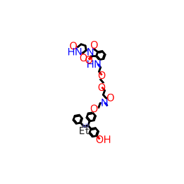 CC/C(=C(\c1ccc(O)cc1)c1ccc(OCCN(C)C(=O)CCOCCOCCNc2cccc3c2C(=O)N(C2CCC(=O)NC2=O)C3=O)cc1)c1ccccc1